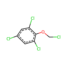 ClCOc1c(Cl)cc(Cl)cc1Cl